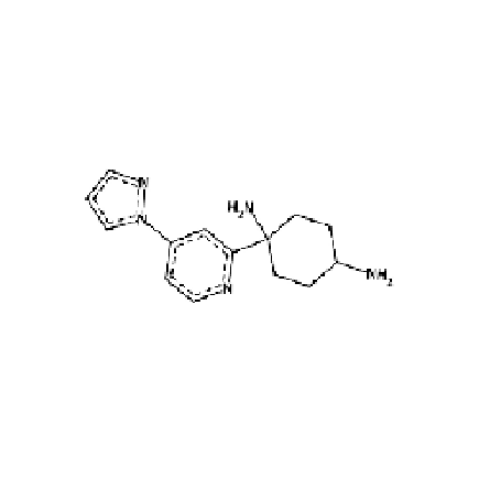 NC1CCC(N)(c2cc(-n3cccn3)ccn2)CC1